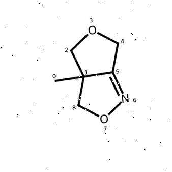 CC12COCC1=NOC2